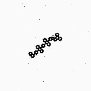 c1ccc2c(-c3ccc(-c4c5ccccc5c(-c5ccc(-c6c7ccccc7c(-c7ccc8oc9c(ccc%10c%11ccccc%11c%11ccccc%11c%109)c8c7)c7ccccc67)cc5)c5ccccc45)cc3)cccc2c1